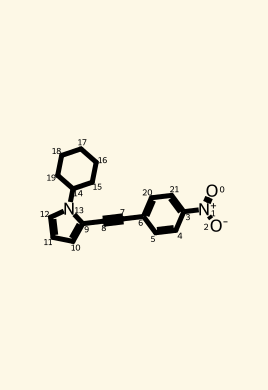 O=[N+]([O-])c1ccc(C#Cc2cccn2C2CCCCC2)cc1